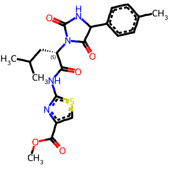 COC(=O)c1csc(NC(=O)[C@H](CC(C)C)N2C(=O)NC(c3ccc(C)cc3)C2=O)n1